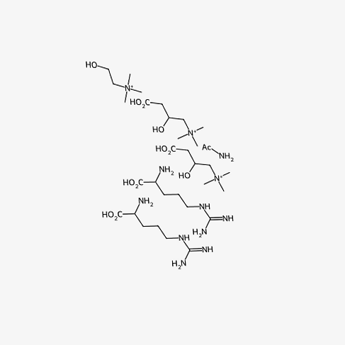 CC(N)=O.C[N+](C)(C)CC(O)CC(=O)O.C[N+](C)(C)CC(O)CC(=O)O.C[N+](C)(C)CCO.N=C(N)NCCCC(N)C(=O)O.N=C(N)NCCCC(N)C(=O)O